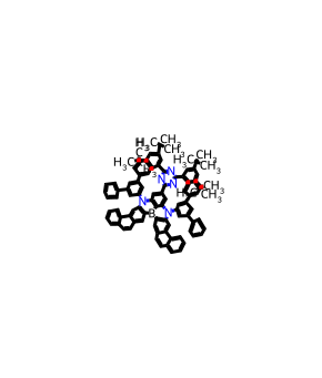 CC(C)(C)c1cc(-c2nc(-c3cc(C(C)(C)C)cc(C(C)(C)C)c3)nc(-c3cc4c5c(c3)N(c3cc(-c6ccccc6)cc(-c6ccccc6)c3)c3cc6c(ccc7ccccc76)cc3B5c3cc5ccc6ccccc6c5cc3N4c3cc(-c4ccccc4)cc(-c4ccccc4)c3)n2)cc(C(C)(C)C)c1